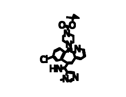 Cn1cncc1C(=N)C1=Cc2cccnc2[C@@H](N2CCN(C(=O)OC3(C)CC3)CC2)c2ccc(Cl)cc21